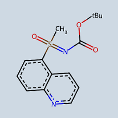 CC(C)(C)OC(=O)N=S(C)(=O)c1cccc2ncccc12